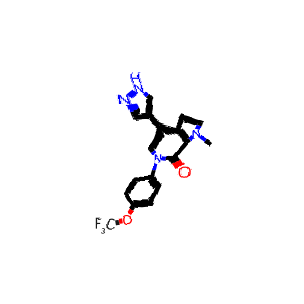 Cn1ccc2c(-c3cn[nH]c3)cn(-c3ccc(OC(F)(F)F)cc3)c(=O)c21